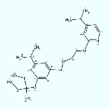 CC(C)c1ccnc(OCCOCc2cc(C(C)C)nc(OC(C)(CO)CO)n2)n1